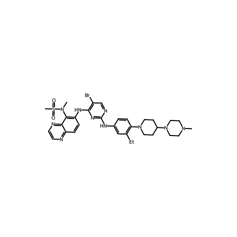 CCc1cc(Nc2ncc(Br)c(Nc3ccc4nccnc4c3N(C)S(C)(=O)=O)n2)ccc1N1CCC(N2CCN(C)CC2)CC1